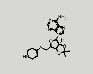 CC1(C)OC2[C@@H](CSC3CCNCC3)O[C@@H](n3cnc4c(N)ncnc43)[C@H]2O1